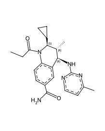 CCC(=O)N1c2ccc(C(N)=O)cc2[C@H](Nc2nccc(C)n2)[C@@H](C)[C@@H]1C1CC1